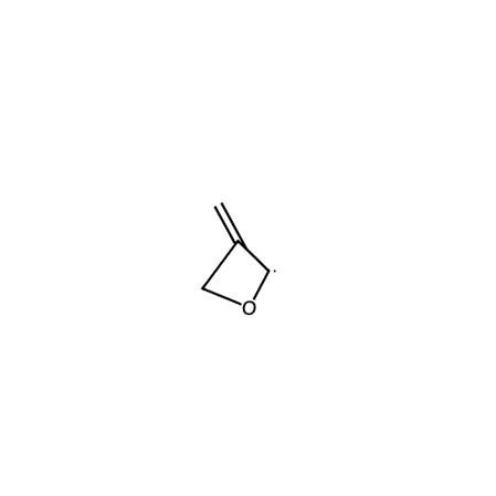 C=C1[CH]OC1